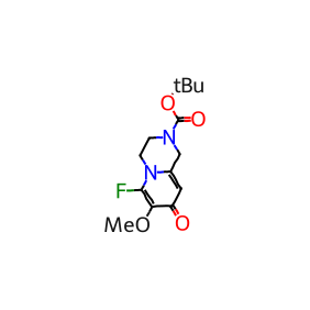 COc1c(F)n2c(cc1=O)CN(C(=O)OC(C)(C)C)CC2